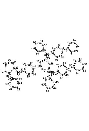 c1ccc(-c2ccc(N(c3ccccc3)c3cc(-c4ccc(-n5c6ccccc6c6ccccc65)cc4)cc(N(c4ccccc4)c4ccc(-c5ccccc5)cc4)c3)cc2)cc1